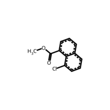 COC(=O)c1cccc2cccc(Cl)c12